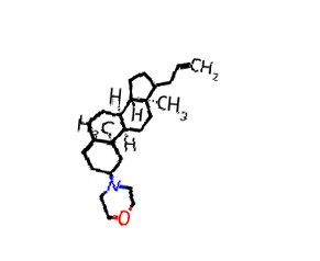 C=CCC1CC[C@H]2[C@@H]3CCC4CCC(N5CCOCC5)C[C@]4(C)[C@@H]3CC[C@]12C